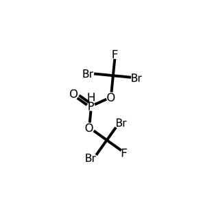 O=[PH](OC(F)(Br)Br)OC(F)(Br)Br